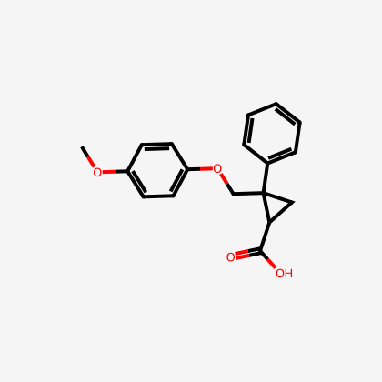 COc1ccc(OCC2(c3ccccc3)CC2C(=O)O)cc1